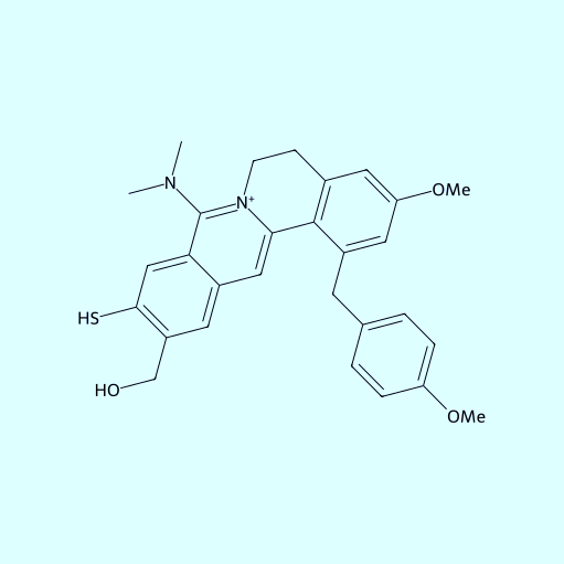 COc1ccc(Cc2cc(OC)cc3c2-c2cc4cc(CO)c(S)cc4c(N(C)C)[n+]2CC3)cc1